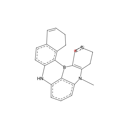 CN1C2=C(B3c4c(cccc41)Nc1ccc4c(c13)CCC=C4)c1ccccc1CC2